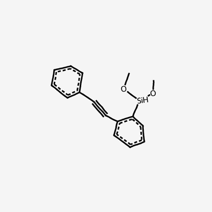 CO[SiH](OC)c1ccccc1C#Cc1ccccc1